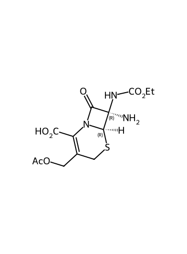 CCOC(=O)N[C@]1(N)C(=O)N2C(C(=O)O)=C(COC(C)=O)CS[C@@H]21